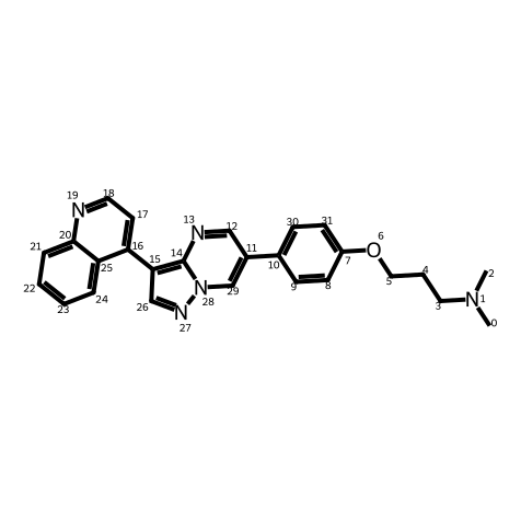 CN(C)CCCOc1ccc(-c2cnc3c(-c4ccnc5ccccc45)cnn3c2)cc1